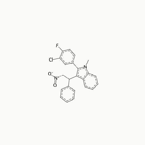 Cn1c(-c2ccc(F)c(Cl)c2)c(C(C[N+](=O)[O-])c2ccccc2)c2ccccc21